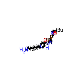 CC(C)(C)c1cnc(CSc2cnc(NC(=O)C3CCN(CCCCCCCCN)CC3)s2)o1